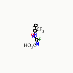 Cc1ccccc1-c1ccc(-c2nc(C3=CCC(CN(C)CC(=O)O)C(F)=C3)no2)cc1C(F)(F)F